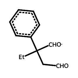 CCC([C]=O)(CC=O)c1ccccc1